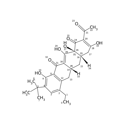 CCc1cc(C(C)(C)C)c(O)c2c1C[C@H]1C[C@H]3CC(O)=C(C(C)=O)C(=O)[C@@]3(O)C(O)=C1C2=O